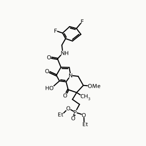 CCOP(=O)(CCC1(C)C(=O)c2c(O)c(=O)c(C(=O)NCc3ccc(F)cc3F)cn2CC1OC)OCC